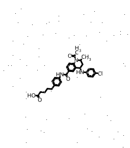 CC(=O)N1c2ccc(C(=O)Nc3ccc(CCCCC(=O)O)cc3)cc2C(Nc2ccc(Cl)cc2)CC1C